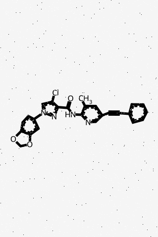 Cc1cc(C#Cc2ccccc2)cnc1NC(=O)c1nn(-c2ccc3c(c2)OCO3)cc1Cl